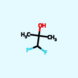 CC(C)(O)C(F)F